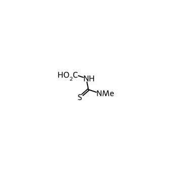 CNC(=S)NC(=O)O